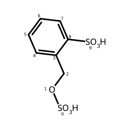 O=S(=O)(O)OCc1ccccc1S(=O)(=O)O